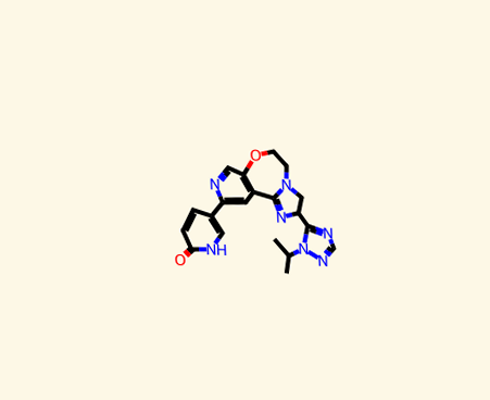 CC(C)n1ncnc1C1CN2CCOc3cnc(-c4ccc(=O)[nH]c4)cc3C2=N1